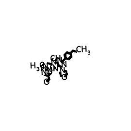 C=Nc1c(N(C)CCN(C)c2ncc(C=O)cn2)nc(-c2ccc(CCC)cc2)nc1N1CCOCC1